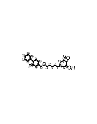 O=NC1C[C@@H](O)CN(CCCCCOCc2ccc(-c3ccccc3)c(F)c2)C1